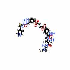 CCN(CC)CCNC(=O)c1c(C)[nH]c(/C=C2\C(=O)Nc3ccc(OC(=O)CCC(=O)Oc4cccc(CNC(=O)Nc5nc(-c6ccncc6)cs5)c4)cc32)c1C